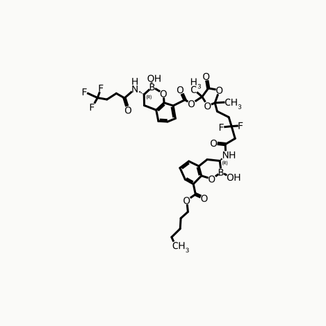 CCCCCOC(=O)c1cccc2c1OB(O)[C@@H](NC(=O)CC(F)(F)CCC1(C)OC(=O)C(C)(OC(=O)c3cccc4c3OB(O)[C@@H](NC(=O)CCC(F)(F)F)C4)O1)C2